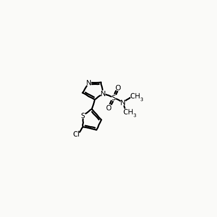 CN(C)S(=O)(=O)n1cncc1-c1ccc(Cl)s1